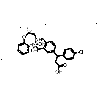 Cc1ccc(C(CC(=O)O)c2ccc(Cl)cc2)cc1C[SH]1(O)(O)NC[C@@H](C)Oc2ccccc21